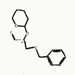 FC[C@@H](COCc1ccccc1)OC1CCCCO1